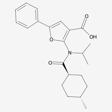 CC(C)N(c1oc(-c2ccccc2)cc1C(=O)O)C(=O)[C@H]1CC[C@H](C)CC1